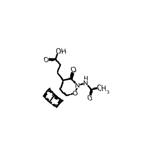 CC(=O)NN1OCCC(CCC(=O)O)C1=O.c1cc2ccc1-2